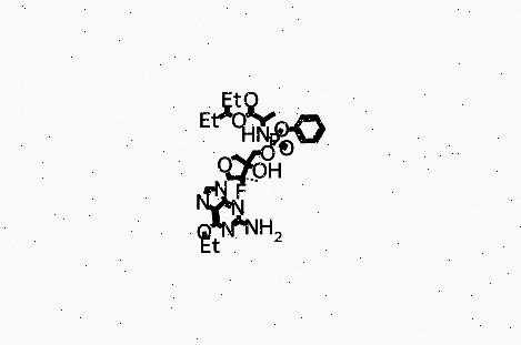 CCOc1nc(N)nc2c1ncn2[C@@H]1OCC(O)(COP(=O)(NC(C)C(=O)OC(CC)CC)Oc2ccccc2)[C@@]1(C)F